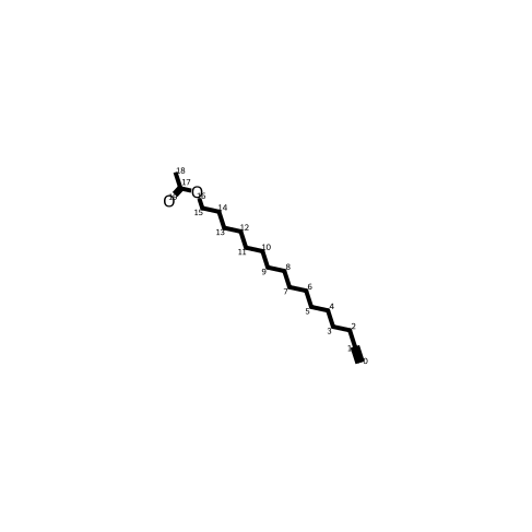 C#CCCCCCCCCCCCCCCOC(C)=O